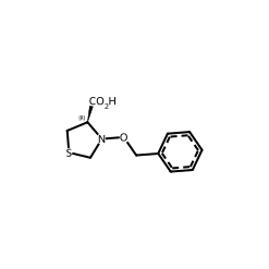 O=C(O)[C@@H]1CSCN1OCc1ccccc1